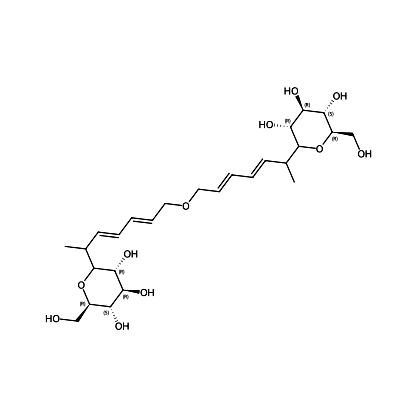 CC(C=CC=CCOCC=CC=CC(C)C1O[C@H](CO)[C@@H](O)[C@H](O)[C@H]1O)C1O[C@H](CO)[C@@H](O)[C@H](O)[C@H]1O